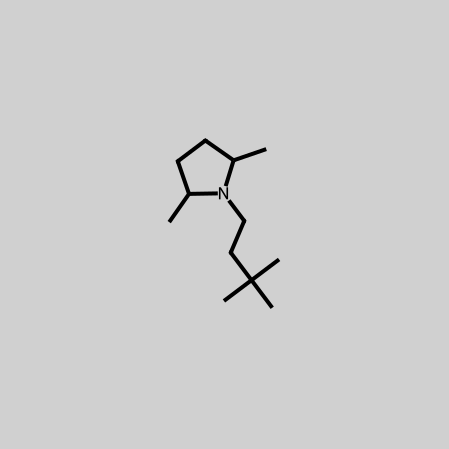 CC1CCC(C)N1CCC(C)(C)C